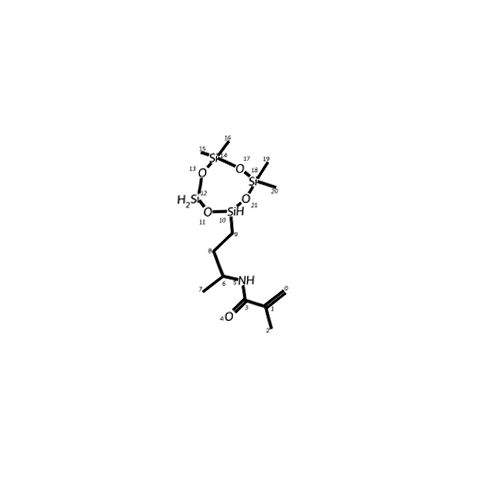 C=C(C)C(=O)NC(C)CC[SiH]1O[SiH2]O[Si](C)(C)O[Si](C)(C)O1